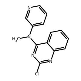 CN(c1cccnc1)c1nc(Cl)nc2ccccc12